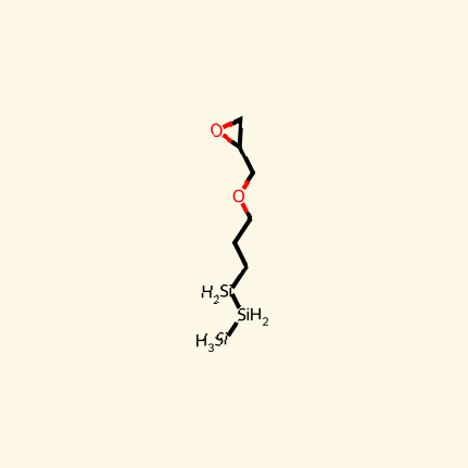 [SiH3][SiH2][SiH2]CCCOCC1CO1